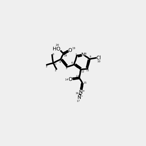 CC(C)(C)C(=Cc1cnc(Cl)cc1C(=O)C=[N+]=[N-])C(=O)O